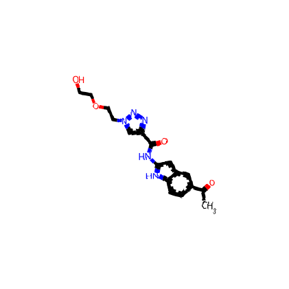 CC(=O)c1ccc2[nH]c(NC(=O)c3cn(CCOCCO)nn3)cc2c1